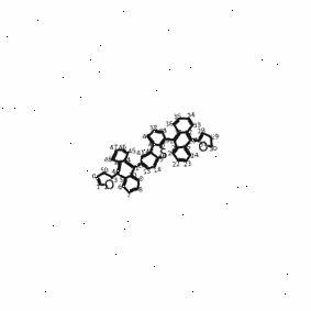 C1=COC(c2c3ccccc3c(-c3ccc4sc5c(-c6c7ccccc7c(C7=CCCO7)c7ccccc67)cccc5c4c3)c3ccccc23)C1